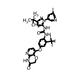 CC(C)(C)c1cc(NC(=O)Nc2ccc(Oc3ccnc4c3OCC(=O)N4)cc2C(I)(I)I)n(-c2cncc(I)c2)n1